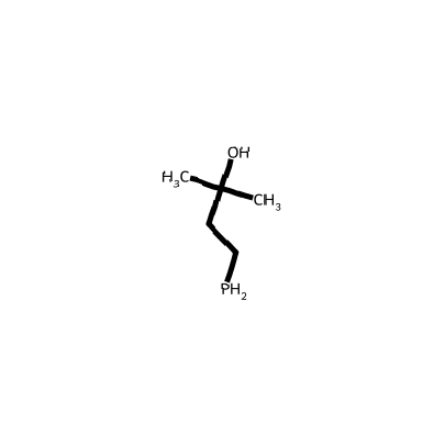 CC(C)(O)CCP